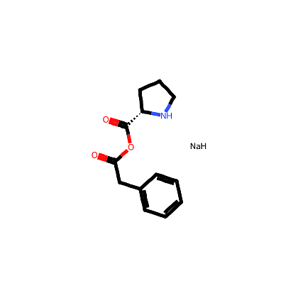 O=C(Cc1ccccc1)OC(=O)[C@@H]1CCCN1.[NaH]